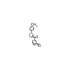 Cc1ccc(C2CCCN(C(=O)c3ccnc(N4CCC4)c3)C2)cc1